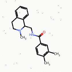 Cc1ccc(C(=O)NCC2c3ccccc3CCN2C)cc1C